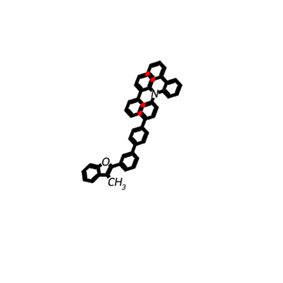 Cc1c(-c2cccc(-c3ccc(-c4ccc(N(c5ccccc5-c5ccccc5)c5ccccc5-c5ccccc5)cc4)cc3)c2)oc2ccccc12